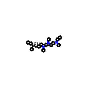 CC(Cc1ccc2c(ccc3c4cc5c(cc4n(-c4ccccc4)c23)c2ccc3cc(N(c4ccccc4)c4ccc6ccccc6c4)ccc3c2n5-c2ccccc2)c1)C(c1ccccc1)c1ccc2ccccc2c1